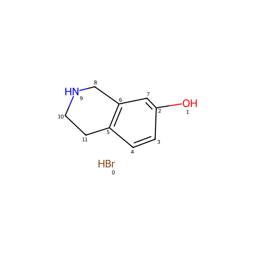 Br.Oc1ccc2c(c1)CNCC2